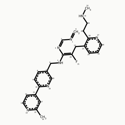 C=N/C=N\C(NCc1ccc(-c2ccnc(C)c2)nc1)=C(\F)Cc1cccnc1CCNC